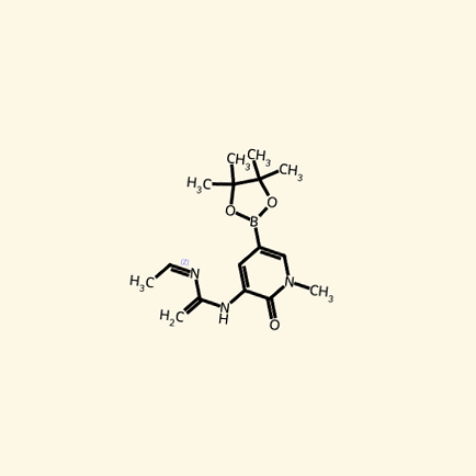 C=C(/N=C\C)Nc1cc(B2OC(C)(C)C(C)(C)O2)cn(C)c1=O